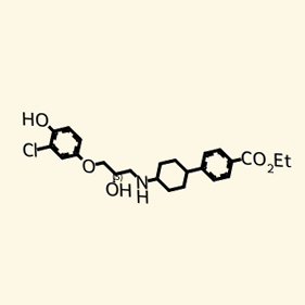 CCOC(=O)c1ccc(C2CCC(NC[C@H](O)COc3ccc(O)c(Cl)c3)CC2)cc1